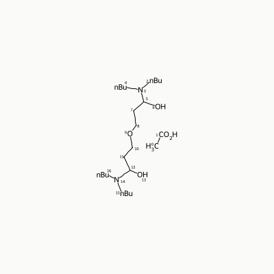 CC(=O)O.CCCCN(CCCC)C(O)CCOCCC(O)N(CCCC)CCCC